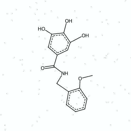 COc1ccccc1CNC(=O)c1cc(O)c(O)c(O)c1